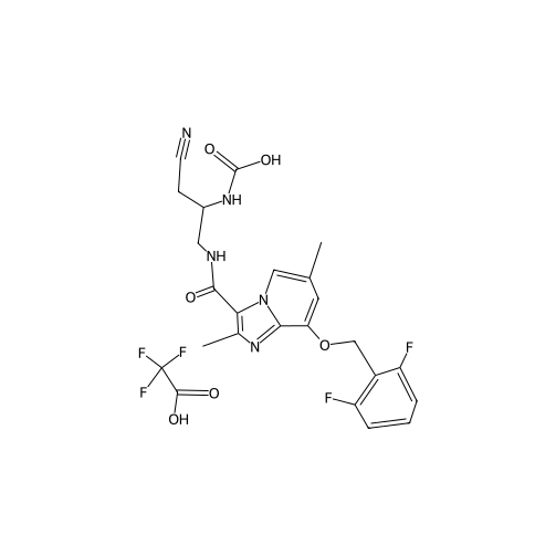 Cc1cc(OCc2c(F)cccc2F)c2nc(C)c(C(=O)NCC(CC#N)NC(=O)O)n2c1.O=C(O)C(F)(F)F